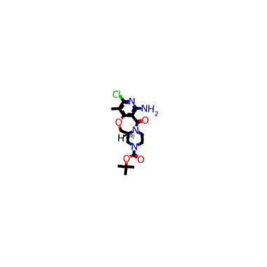 Cc1c(Cl)nc(N)c2c1OC[C@H]1CN(C(=O)OC(C)(C)C)CCN1C2=O